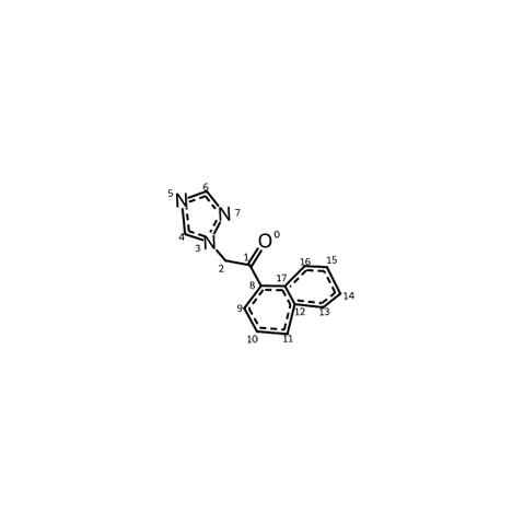 O=C(Cn1cncn1)c1cccc2ccccc12